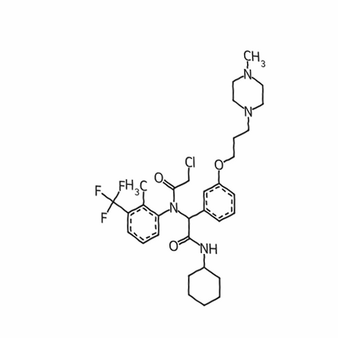 Cc1c(N(C(=O)CCl)C(C(=O)NC2CCCCC2)c2cccc(OCCCN3CCN(C)CC3)c2)cccc1C(F)(F)F